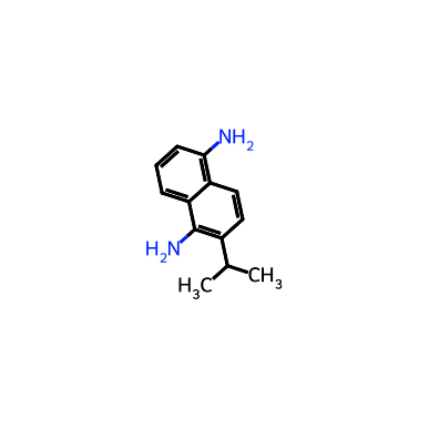 CC(C)c1ccc2c(N)cccc2c1N